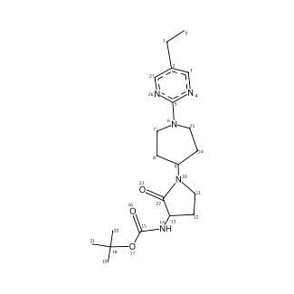 CCc1cnc(N2CCC(N3CCC(NC(=O)OC(C)(C)C)C3=O)CC2)nc1